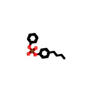 CCCCc1ccc(OS(=O)(=O)Oc2ccccc2)cc1